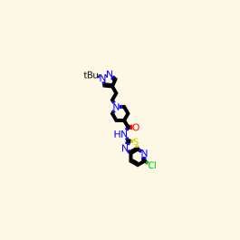 CC(C)(C)n1cc(CCN2CCC(C(=O)Nc3nc4ccc(Cl)nc4s3)CC2)cn1